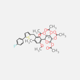 COc1cc(C)c(Cc2ccc(-c3ccc(F)cc3)s2)cc1C1O[C@H](OC(C)=O)[C@@H](OC(C)=O)[C@H](OC(C)=O)[C@H]1OC(C)=O